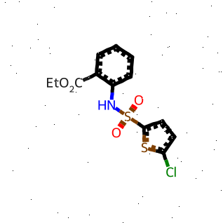 CCOC(=O)c1ccccc1NS(=O)(=O)c1ccc(Cl)s1